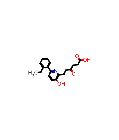 CCc1ccccc1-c1ccc(O)c(CCC(=O)CCC(=O)O)n1